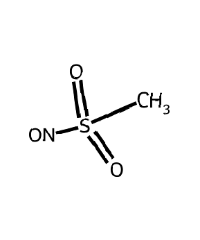 CS(=O)(=O)N=O